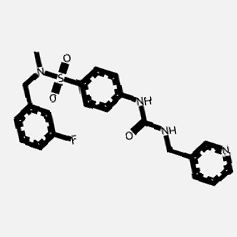 CN(Cc1cccc(F)c1)S(=O)(=O)c1ccc(NC(=O)NCc2cccnc2)cc1